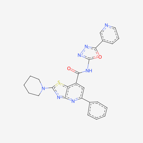 O=C(Nc1nnc(-c2cccnc2)o1)c1cc(-c2ccccc2)nc2nc(N3CCCCC3)sc12